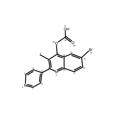 Cc1c(-c2ccncc2)nc2ccc(Br)cc2c1OC(=O)O